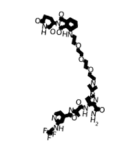 NC(=O)c1nn(C2CN(CCOCCOCCOCCNc3cccc4c3C(=O)N(C3CCC(=O)NC3=O)C4=O)C2)cc1NC(=O)c1coc(-c2ccnc(NCC(F)(F)F)c2)n1